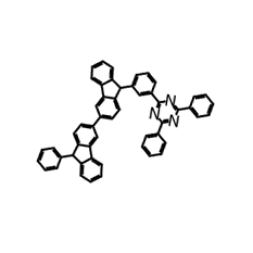 c1ccc(-c2nc(-c3ccccc3)nc(-c3cccc(C4c5ccccc5-c5cc(-c6ccc7c(c6)-c6ccccc6C7c6ccccc6)ccc54)c3)n2)cc1